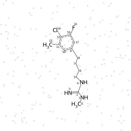 CNC(=N)NCCCCc1cc(C)c(Cl)c(F)c1